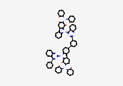 c1ccc(-c2nc(-n3c4ccc(-c5cccc(-c6nc(-n7c8ccccc8c8cc9c%10c(c87)Oc7ccccc7N%10c7ccccc7O9)c7ccccc7n6)c5)cc4c4cc5c6c(c43)Oc3ccccc3N6c3ccccc3O5)nc3ccccc23)cc1